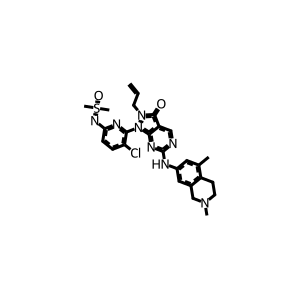 C=CCn1c(=O)c2cnc(Nc3cc(C)c4c(c3)CN(C)CC4)nc2n1-c1nc(N=S(C)(C)=O)ccc1Cl